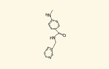 CNc1ccc(C(=O)NCc2cccnc2)cc1